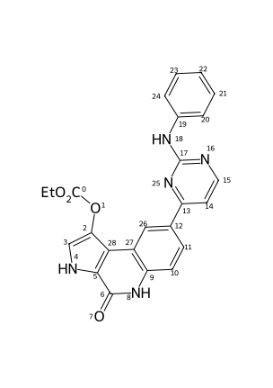 CCOC(=O)Oc1c[nH]c2c(=O)[nH]c3ccc(-c4ccnc(Nc5ccccc5)n4)cc3c12